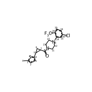 Cc1ccc(C2CC2C(=O)N2CCN(c3cc(Cl)ccc3C(F)(F)F)CC2)s1